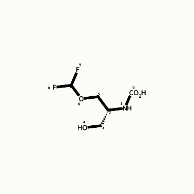 O=C(O)N[C@H](CO)COC(F)F